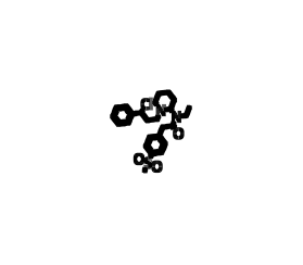 CCN(C(=O)Cc1ccc(S(C)(=O)=O)cc1)C1CCCCN1CCC(Cl)c1ccccc1